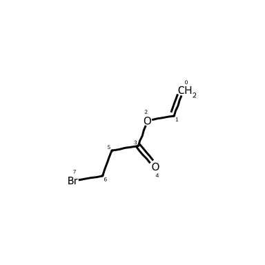 C=COC(=O)CCBr